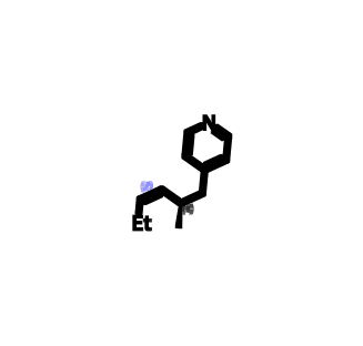 CC/C=C\[C@H](C)Cc1ccncc1